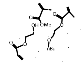 C=C(C)C(=O)OC.C=C(C)C(=O)OCCOCCCC.C=CC(=O)OCCO